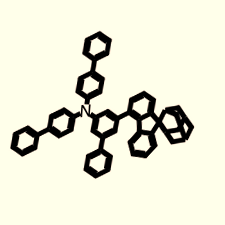 c1ccc(-c2ccc(N(c3ccc(-c4ccccc4)cc3)c3cc(-c4ccccc4)cc(-c4cccc5c4-c4ccccc4C54C5CC6CC(C5)CC4C6)c3)cc2)cc1